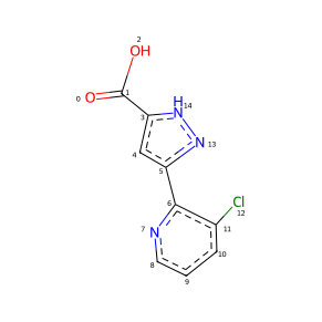 O=C(O)c1cc(-c2ncccc2Cl)n[nH]1